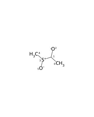 CC([O])[S+](C)[O-]